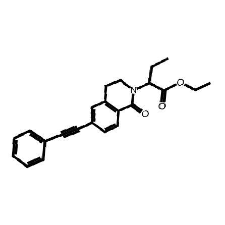 CCOC(=O)C(CC)N1CCc2cc(C#Cc3ccccc3)ccc2C1=O